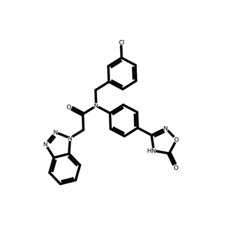 O=C(Cn1nnc2ccccc21)N(Cc1cccc(Cl)c1)c1ccc(-c2noc(=O)[nH]2)cc1